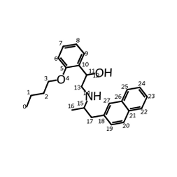 CCCCOc1ccccc1C(O)CNC(C)Cc1ccc2ccccc2c1